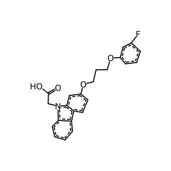 O=C(O)Cn1c2ccccc2c2ccc(OCCCOc3cccc(F)c3)cc21